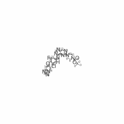 CC(C)(C)OC(=O)N1CCN(c2ncc3ncnc(Nc4cc(F)c(Oc5ccn6ncnc6c5)c(Cl)c4)c3n2)CC1